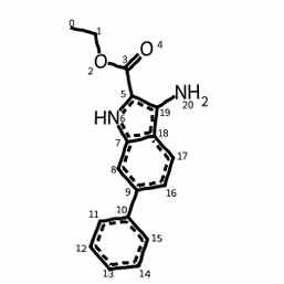 CCOC(=O)c1[nH]c2cc(-c3ccccc3)ccc2c1N